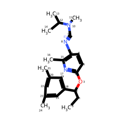 CCC(Oc1ccc(/N=C/N(C)C(C)C)c(C)n1)c1cc(C)cc(C)c1